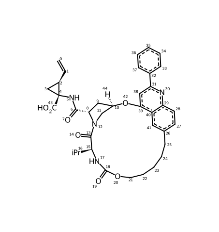 C=C[C@@H]1C[C@]1(NC(=O)[C@@H]1C[C@@H]2CN1C(=O)[C@H](C(C)C)NC(=O)OCCCCCc1ccc3nc(-c4ccccc4)cc(c3c1)O2)C(=O)O